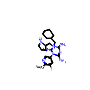 CCN1CCCC1C[N+]1(CC2CCCCC2)C(N)N=C(N)N(c2cnc(OC)c(F)c2)C1N